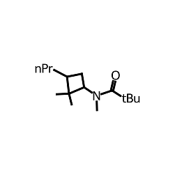 CCCC1CC(N(C)C(=O)C(C)(C)C)C1(C)C